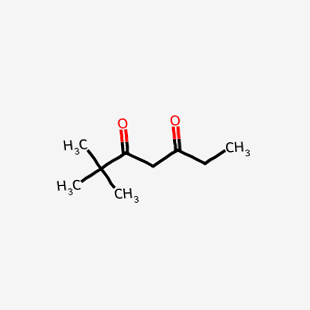 CCC(=O)CC(=O)C(C)(C)C